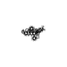 COc1ccc(CC2Cc3c(-c4ccccc4Cl)cc(S(=O)(=O)N4CCN(C(C)C)CC4)cc3N(c3c(Cl)cccc3Cl)C2=O)cc1